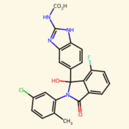 Cc1ccc(Cl)cc1N1C(=O)c2cccc(F)c2C1(O)c1ccc2[nH]c(NC(=O)O)nc2c1